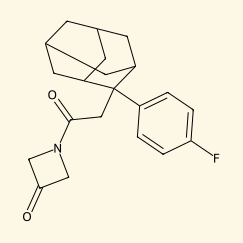 O=C1CN(C(=O)CC2(c3ccc(F)cc3)C3CC4CC(C3)CC2C4)C1